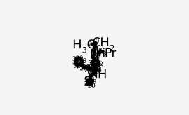 C=C(C)CCN(CCC(C)C)Cc1ccc2nc(NCc3cccs3)n(CCCN3CCCCC3)c2c1